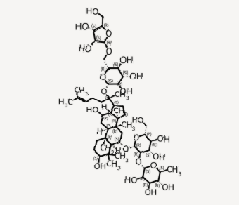 CC(C)=CCC[C@](C)(O[C@@H]1O[C@H](CO[C@@H]2O[C@H](CO)[C@@H](O)[C@@H]2O)[C@@H](O)[C@H](O)[C@H]1O)[C@H]1CC[C@]2(C)[C@@H]1[C@H](O)C[C@@H]1[C@@]3(C)CC[C@H](O)C(C)(C)[C@@H]3[C@@H](O[C@@H]3O[C@H](CO)[C@@H](O)[C@H](O)[C@H]3O[C@@H]3O[C@@H](C)[C@H](O)[C@@H](O)[C@H]3O)C[C@]12C